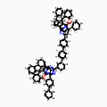 c1ccc(-c2ccc(-c3nc(-c4cccc(-c5ccc(-c6ccc(-c7cc(-c8ccccc8)nc(-c8cccc9c8C8(c%10ccccc%10Oc%10ccccc%108)c8ccccc8-9)n7)cc6)cc5)c4)nc(-c4cccc5c4C4(c6ccccc6Oc6ccccc64)c4ccccc4-5)n3)cc2)cc1